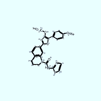 COc1ccc(-c2sc(-c3ccc4c(c3)N(C(=O)Nc3nccs3)CCC4)nc2OC(=O)O)cc1